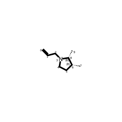 C=CCN1CC[C@@H](C)[C@H]1C